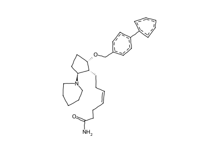 NC(=O)CC/C=C\CC[C@H]1[C@@H](OCc2ccc(-c3ccccc3)cc2)CC[C@@H]1N1CCCCC1